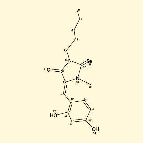 CCCCCN1C(=O)C(=Cc2ccc(O)cc2O)N(C)C1=[Se]